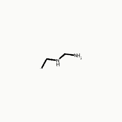 [CH2]CNCN